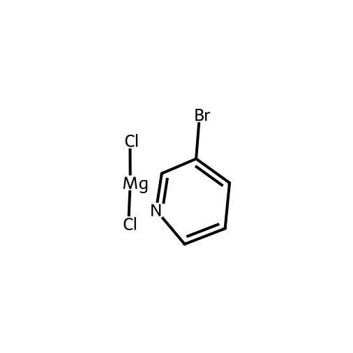 Brc1cccnc1.[Cl][Mg][Cl]